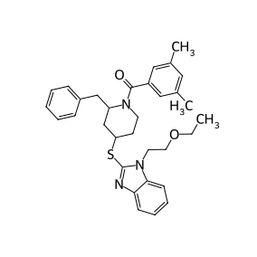 CCOCCn1c(SC2CCN(C(=O)c3cc(C)cc(C)c3)C(Cc3ccccc3)C2)nc2ccccc21